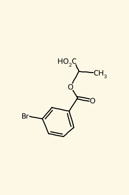 CC(OC(=O)c1cccc(Br)c1)C(=O)O